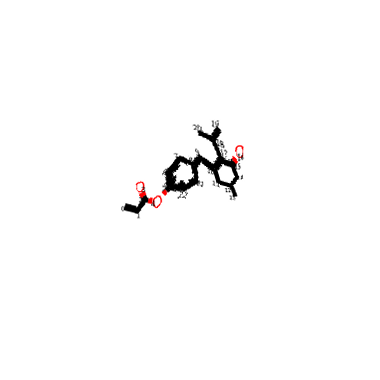 C=CC(=O)Oc1ccc(C=C2CC(C)CC(=O)C2C(C)C)cc1